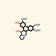 COc1cc2c(cc1O)c1c(c3cc(OC)c(OC)cc32)CN2CCCC2C1O